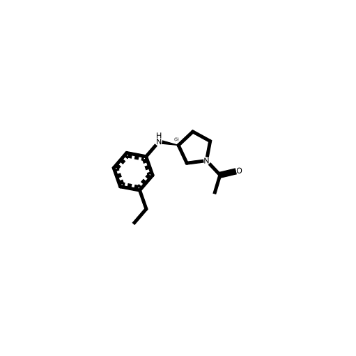 CCc1cccc(N[C@H]2CCN(C(C)=O)C2)c1